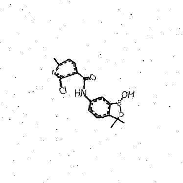 Cc1ccc(C(=O)Nc2ccc3c(c2)B(O)OC3(C)C)c(Cl)n1